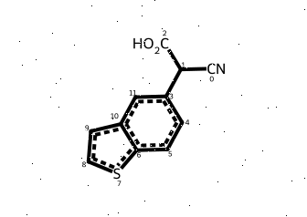 N#CC(C(=O)O)c1ccc2sccc2c1